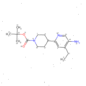 CCc1cc(C2CCN(C(=O)OC(C)(C)C)CC2)ncc1N